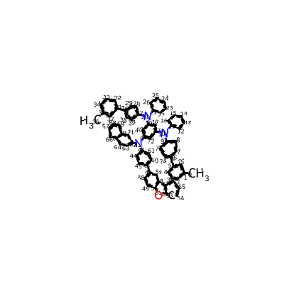 Cc1cccc(-c2ccc(N(c3ccccc3)c3cc(N(c4ccccc4)c4ccc(-c5cccc(C)c5)cc4)cc(N(c4ccc(-c5ccc6oc7ccccc7c6c5)cc4)c4ccc5ccccc5c4)c3)cc2)c1